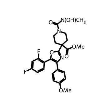 COC(=O)C1(c2nc(-c3ccc(OC)cc3)c(-c3ccc(F)cc3F)o2)CCN(C(=O)N(C)O)CC1